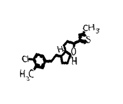 Cc1cc(C2CC[C@@H]3C(CCc4ccc(Cl)c(C)c4)CC[C@@H]3O2)cs1